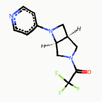 O=C(N1C[C@@H]2CN(c3ccncc3)[C@@H]2C1)C(F)(F)F